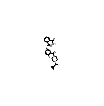 O=C(c1cc(Oc2n[nH]c(=O)c3ccccc23)ccc1F)N1CCN(C(=O)C2CC2)CC1